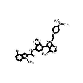 CN(C)C1CCN(CCn2nc(-c3ccc(NC(=O)c4cc5c(Br)cccc5n4C)c4c3OCO4)c3c(N)ncnc32)CC1